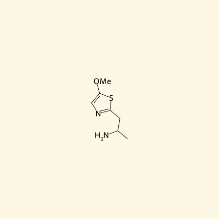 COc1cnc(CC(C)N)s1